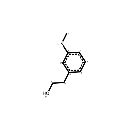 CSc1cccc(CCO)c1